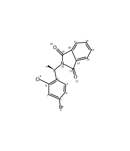 C[C@H](c1ccc(Br)cc1Cl)N1C(=O)c2ccccc2C1=O